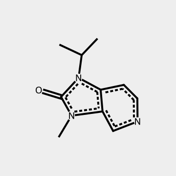 CC(C)n1c(=O)n(C)c2cnccc21